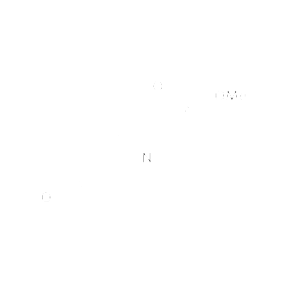 COC(=O)C(C)N1CCC(=O)CC1C